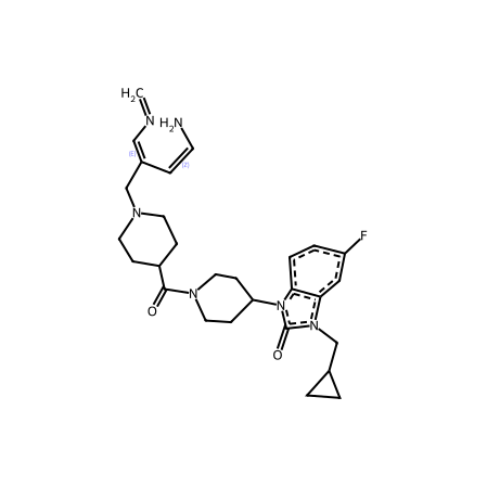 C=N/C=C(\C=C/N)CN1CCC(C(=O)N2CCC(n3c(=O)n(CC4CC4)c4cc(F)ccc43)CC2)CC1